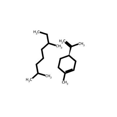 C=C(C)[C@H]1CC=C(C)CC1.CCC(C)CCCC(C)C